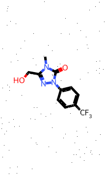 Cn1c(CO)nn(-c2ccc(C(F)(F)F)cc2)c1=O